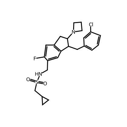 O=S(=O)(CC1CC1)NCc1cc2c(cc1F)CC(N1CCC1)C2Cc1cccc(Cl)c1